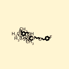 COc1cc(CO)c(NC(=S)N(C)C2CCN(CCCOCCc3ccc(F)cc3)CC2)c(OC)c1OC